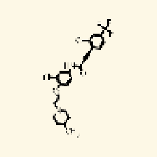 CC1CCN(CCOc2ccc(NC(=O)C#Cc3ccc(C(F)(F)F)cc3Cl)cc2Cl)CC1